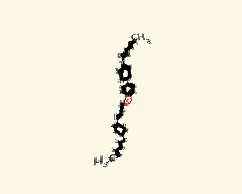 CCCCCCC[C@H]1CC[C@H](c2ccc(OCCC[C@H]3CC[C@H](CCCCCC)CC3)cc2)CC1